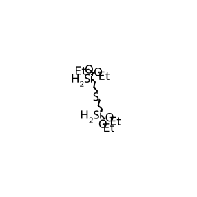 CCOC(OCC)[SiH2]CCCSCCC[SiH2]C(OCC)OCC